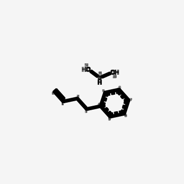 C=CCCc1ccccc1.OBO